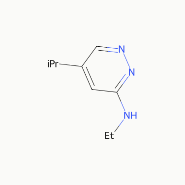 CCNc1cc(C(C)C)cnn1